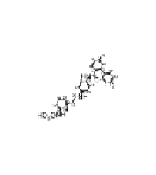 Cc1ccc(-c2cc(C)ccc2C(=O)Nc2ccc(NCCc3cccc(NC(=O)O)n3)cc2)cc1